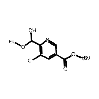 CCOC(O)c1ncc(C(=O)OC(C)(C)C)cc1Cl